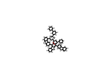 c1ccc(-c2cccc(-c3nc(-c4cccc(-c5ccccc5)c4)nc(-c4cccc5oc6ccc(-c7ccc(-c8ccc9c(c8)sc8ccccc89)c8sc9ccccc9c78)cc6c45)n3)c2)cc1